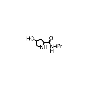 CC(C)NC(=O)C1CC(O)CN1